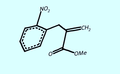 C=C(Cc1ccccc1[N+](=O)[O-])C(=O)OC